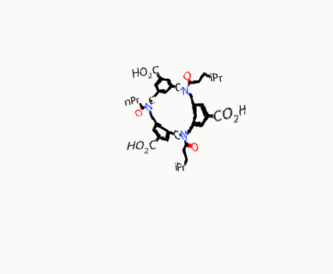 CCCC(=O)N1Cc2cc(cc(C(=O)O)c2)CN(C(=O)CCC(C)C)Cc2cc(cc(C(=O)O)c2)CN(C(=O)CCC(C)C)Cc2cc(cc(C(=O)O)c2)C1